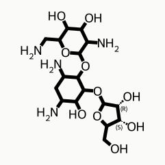 NCC1OC(OC2C(N)CC(N)C(O)C2OC2OC(CO)[C@@H](O)[C@H]2O)C(N)C(O)C1O